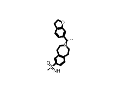 C[C@@H](c1ccc2c(c1)OCC2)N1CCc2ccc([S@](C)(=N)=O)cc2CC1